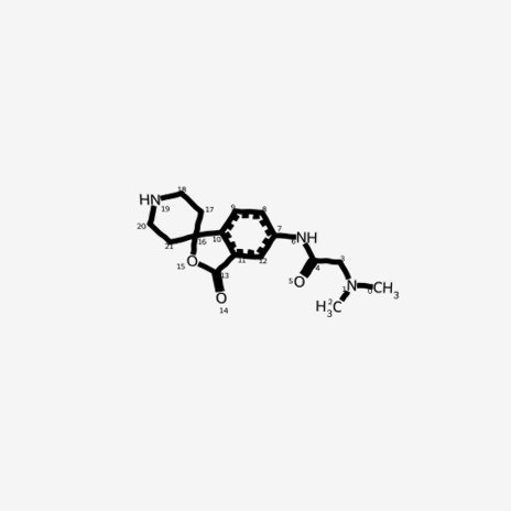 CN(C)CC(=O)Nc1ccc2c(c1)C(=O)OC21CCNCC1